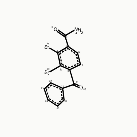 CCc1c(C(N)=O)ccc(C(=O)c2ccccc2)c1CC